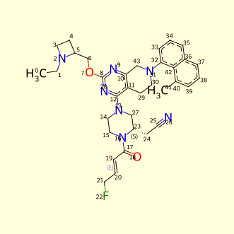 CCN1CCC1COc1nc2c(c(N3CCN(C(=O)/C=C/CF)[C@@H](CC#N)C3)n1)CCN(c1cccc3cccc(C)c13)C2